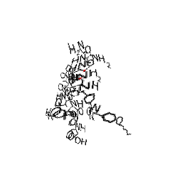 CCCCCCOc1ccc(-c2noc(-c3ccc(C(=O)NC(CC(N)=O)C(=O)NC(C(=O)N4CCCCC4C(=O)NC(C(=O)NC(CC(=O)O)C(=O)NCC(=O)NC(C=O)CC(=O)O)C(C)C(=O)O)C(C)NC(=O)C4CCCN4C(=O)C(NC(=O)C(NC(=O)CN)C(C)N)C(C)C)cc3)n2)cc1